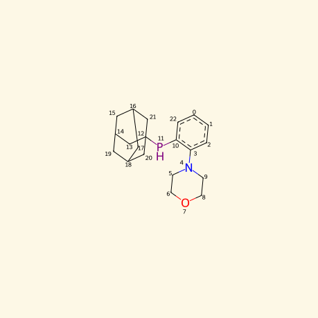 c1ccc(N2CCOCC2)c(PC23CC4CC(CC(C4)C2)C3)c1